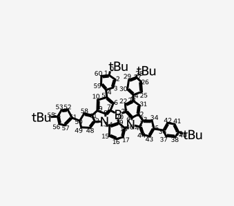 CC(C)(C)c1ccc(-c2cc3c4c(c2)c2c(n4-c4cccc5c4B3c3cc(-c4ccc(C(C)(C)C)cc4)cc4c6cc(-c7ccc(C(C)(C)C)cc7)ccc6n-5c34)=CCC(c3ccc(C(C)(C)C)cc3)C=2)cc1